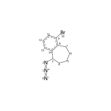 [N-]=[N+]=NC1CCCCc2c(Br)cccc21